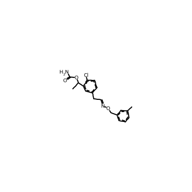 Cc1cccc(CON=CCc2ccc(Cl)c(C(C)OC(N)=O)c2)c1